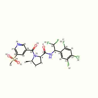 C[C@@H]1CC[C@H](C(=O)NC(c2cc(F)c(Cl)cc2F)C(F)F)N1C(=O)c1cncc(S(C)(=O)=O)c1